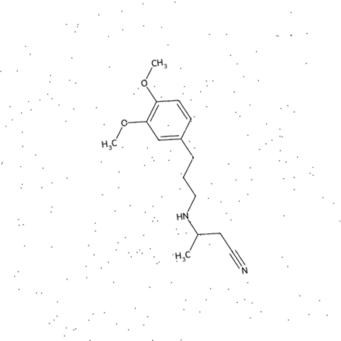 COc1ccc(CCCNC(C)CC#N)cc1OC